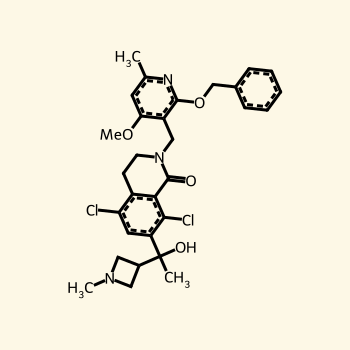 COc1cc(C)nc(OCc2ccccc2)c1CN1CCc2c(Cl)cc(C(C)(O)C3CN(C)C3)c(Cl)c2C1=O